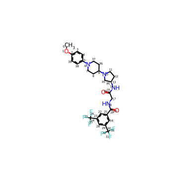 COc1ccc(N2CCC(N3CC[C@@H](NC(=O)CNC(=O)c4cc(C(F)(F)F)cc(C(F)(F)F)c4)C3)CC2)cc1